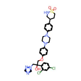 O=S1(=O)CCC(c2ccc(N3CCN(c4ccc(OCC(O)(Cn5cncn5)c5ccc(Cl)cc5Cl)cc4)CC3)cc2)CN1